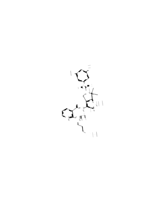 CC1(C)c2[nH]nc(NC(=O)c3cccnc3NCCCO)c2CN1S(=O)(=O)c1cc(F)cc(F)c1